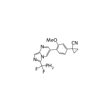 COc1cc(C2(C#N)CC2)ccc1-c1cnc2cnc(C(F)(F)P)n2c1